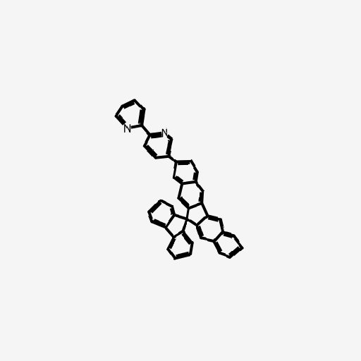 c1ccc(-c2ccc(-c3ccc4cc5c(cc4c3)C3(c4ccccc4-c4ccccc43)c3cc4ccccc4cc3-5)cn2)nc1